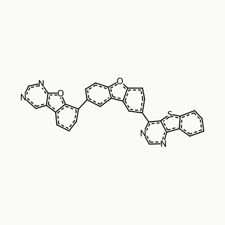 c1ccc2c(c1)sc1c(-c3ccc4oc5ccc(-c6cccc7c6oc6ncncc67)cc5c4c3)ncnc12